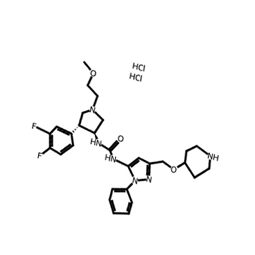 COCCN1C[C@@H](NC(=O)Nc2cc(COC3CCNCC3)nn2-c2ccccc2)[C@H](c2ccc(F)c(F)c2)C1.Cl.Cl